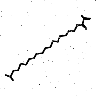 C=C(C)C(=O)OCCCCCCCCCCCCCCCCC(C)C